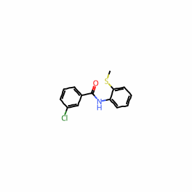 CSc1ccccc1NC(=O)c1cccc(Cl)c1